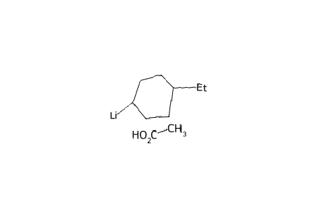 CC(=O)O.[Li][CH]1CCC(CC)CC1